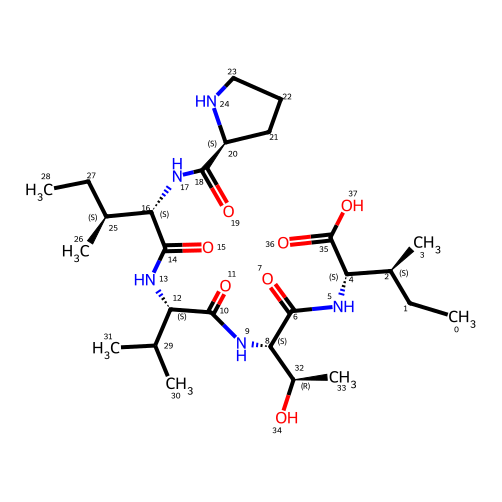 CC[C@H](C)[C@H](NC(=O)[C@@H](NC(=O)[C@@H](NC(=O)[C@@H](NC(=O)[C@@H]1CCCN1)[C@@H](C)CC)C(C)C)[C@@H](C)O)C(=O)O